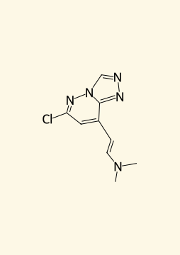 CN(C)C=Cc1cc(Cl)nn2cnnc12